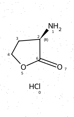 Cl.N[C@@H]1CCOC1=O